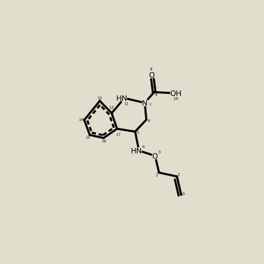 C=CCONC1CN(C(=O)O)Nc2ccccc21